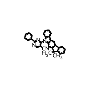 CC1(C)c2ccccc2-c2cc3c4ccccc4n(-c4nc(-c5ccccc5)ncc4C#N)c3cc21